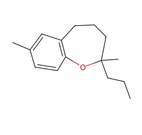 CCCC1(C)CCCc2cc(C)ccc2O1